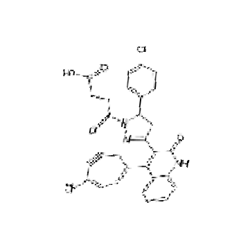 O=C(O)CCC(=O)N1N=C(c2c(C3=CC=C(Cl)C#CC3)c3ccccc3[nH]c2=O)CC1c1ccc(Cl)cc1